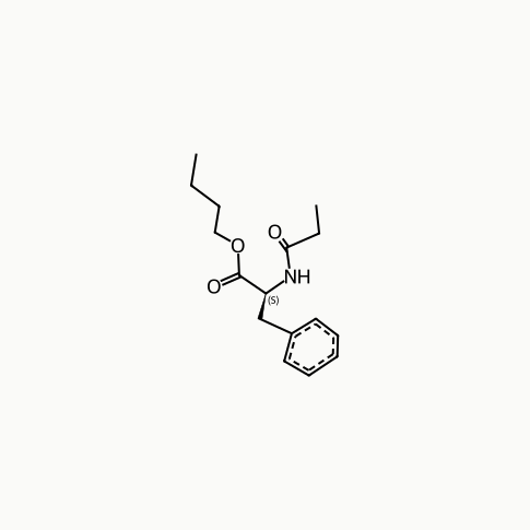 CCCCOC(=O)[C@H](Cc1ccccc1)NC(=O)CC